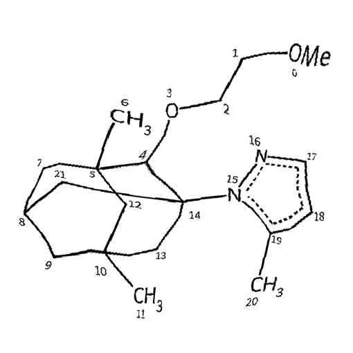 COCCOC1C2(C)CC3CC(C)(C2)CC1(n1nccc1C)C3